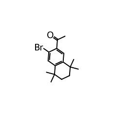 CC(=O)c1cc2c(cc1Br)C(C)(C)CCC2(C)C